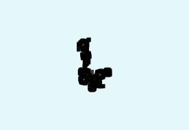 CCOC(=O)c1c(-c2ccc(OC)cc2)n2c3c(cccc13)OC(CCN1CCN(c3cc(C)ccn3)CC1)C2